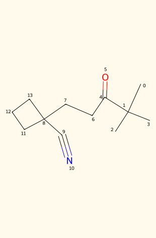 CC(C)(C)C(=O)CCC1(C#N)CCC1